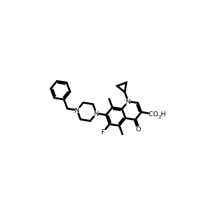 Cc1c(F)c(N2CCN(Cc3ccccc3)CC2)c(C)c2c1c(=O)c(C(=O)O)cn2C1CC1